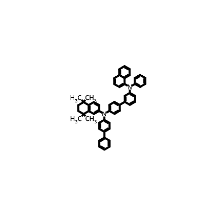 CC1(C)CCC(C)(C)c2cc(N(c3ccc(-c4ccccc4)cc3)c3ccc(-c4cccc(N(c5ccccc5)c5cccc6ccccc56)c4)cc3)ccc21